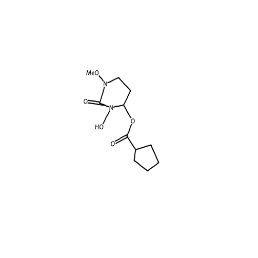 CON1CCC(OC(=O)C2CCCC2)N(O)C1=O